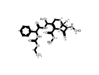 CC(=O)OC(NC(=O)C(NC(=O)OCC(Cl)(Cl)Cl)c1ccccc1)C1=C(C(=O)OC(C)(C)C)N2C(=O)[C@H](NC=O)[C@H]2SC1